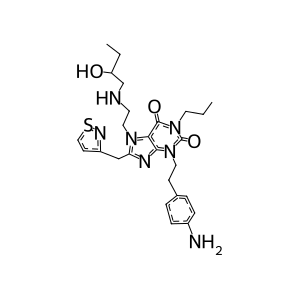 CCCn1c(=O)c2c(nc(Cc3ccsn3)n2CCNCC(O)CC)n(CCc2ccc(N)cc2)c1=O